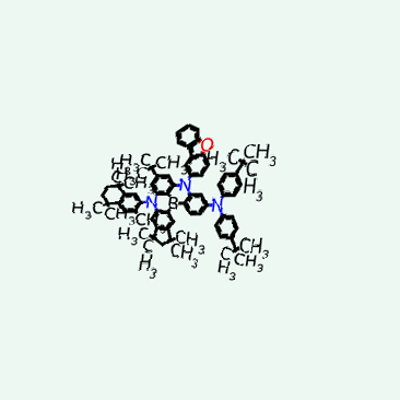 Cc1cc2c(cc1N1c3cc4c(cc3B3c5ccc(N(c6ccc(C(C)(C)C)cc6)c6ccc(C(C)(C)C)cc6)cc5N(c5ccc6oc7ccccc7c6c5)c5cc(C(C)(C)C)cc1c53)C(C)(C)CC4(C)C)C(C)(C)CCC2(C)C